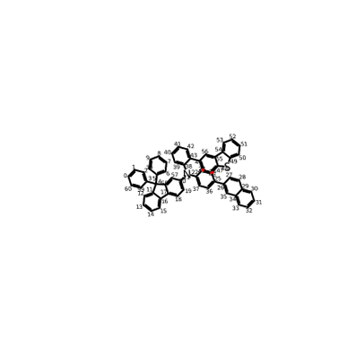 c1ccc(C2(c3ccccc3)c3ccccc3-c3ccc(N(c4ccc(-c5ccc6ccccc6c5)cc4)c4ccccc4-c4ccc5sc6ccccc6c5c4)cc32)cc1